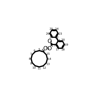 O=C(OO[C]1CCCCCCCCCCC1)c1ccccc1-c1ccccc1